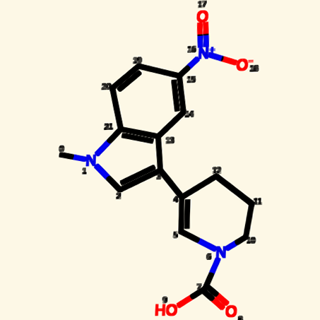 Cn1cc(C2=CN(C(=O)O)CCC2)c2cc([N+](=O)[O-])ccc21